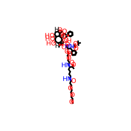 COCCOCCOCCC(=O)NCCCCC(NC(=O)COCC(=O)O[C@@H](C(=O)O[C@H]1C[C@@]2(O)[C@@H](OC(=O)c3ccccc3)[C@@H]3[C@]4(OC(C)=O)CO[C@@H]4C[C@H](O)[C@@]3(C)[C@H](O)[C@H](O)[C@@H](C1C)C2(C)C)[C@@H](NC(=O)OC(C)(C)C)c1ccccc1)C(C)=O